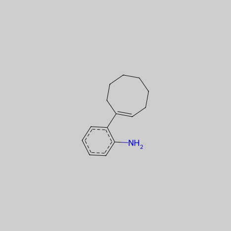 Nc1ccccc1C1=CCCCCCC1